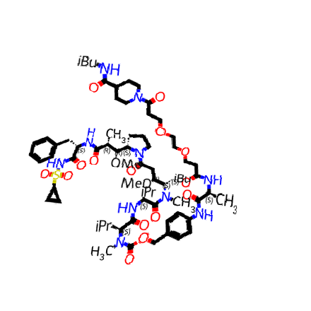 CCC(C)NC(=O)C1CCN(C(=O)CCOCCOCCC(=O)N[C@@H](C)C(=O)Nc2ccc(COC(=O)N(C)[C@H](C(=O)N[C@H](C(=O)N(C)[C@@H]([C@@H](C)CC)[C@@H](CC(=O)N3CCC[C@H]3[C@H](OC)[C@@H](C)C(=O)N[C@@H](Cc3ccccc3)C(=O)NS(=O)(=O)C3CC3)OC)C(C)C)C(C)C)cc2)CC1